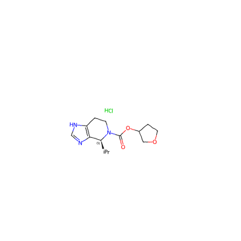 CC(C)[C@H]1c2nc[nH]c2CCN1C(=O)OC1CCOC1.Cl